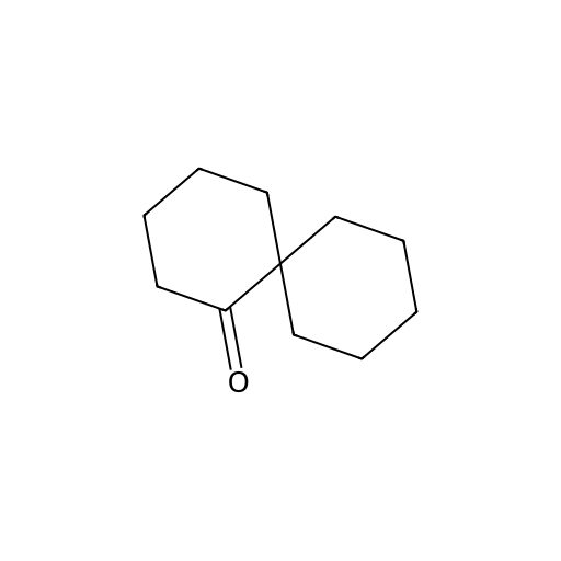 O=C1CCCCC12CCCCC2